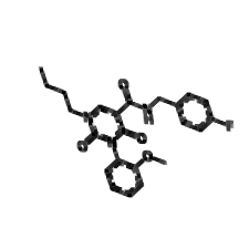 CCCCn1cc(C(=O)NCc2ccc(F)cc2)c(=O)n(-c2ccccc2OC)c1=O